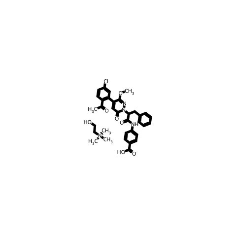 COc1nn(C(Cc2ccccc2)C(=O)Nc2ccc(C(=O)O)cc2)c(=O)cc1-c1cc(Cl)ccc1C(C)=O.C[N+](C)(C)CCO